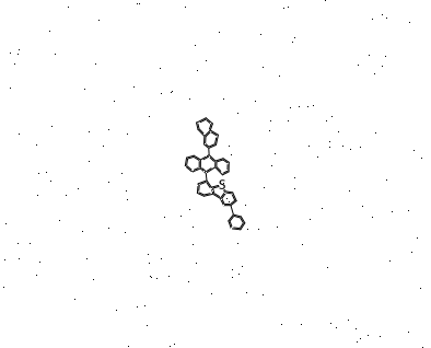 c1ccc(-c2ccc3sc4c(-c5c6ccccc6c(-c6ccc7ccccc7c6)c6ccccc56)cccc4c3c2)cc1